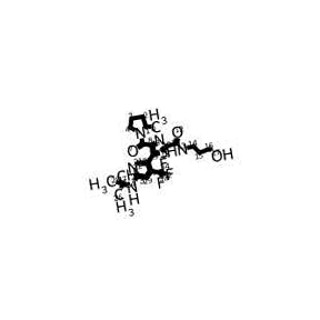 CC1CCCN1C(=O)c1nc(C(=O)NCCCO)sc1-c1cnc(NC(C)(C)C)cc1C(F)(F)F